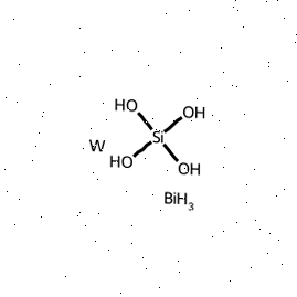 O[Si](O)(O)O.[BiH3].[W]